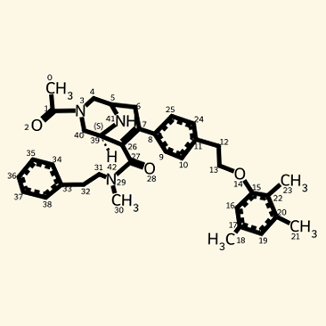 CC(=O)N1CC2CC(c3ccc(CCOc4cc(C)cc(C)c4C)cc3)=C(C(=O)N(C)CCc3ccccc3)[C@@H](C1)N2